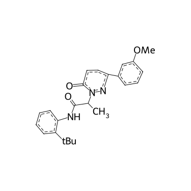 COc1cccc(-c2ccc(=O)n(C(C)C(=O)Nc3ccccc3C(C)(C)C)n2)c1